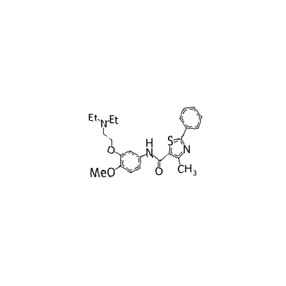 CCN(CC)CCOc1cc(NC(=O)c2sc(-c3ccccc3)nc2C)ccc1OC